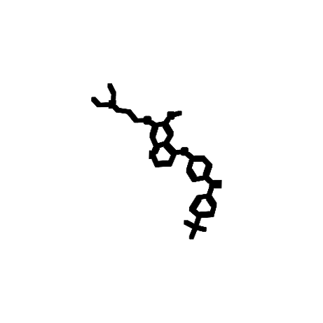 CCN(CC)CCCOc1cc2nccc(Oc3ccc(Nc4ccc(C(C)(C)C)cc4)cc3)c2cc1OC